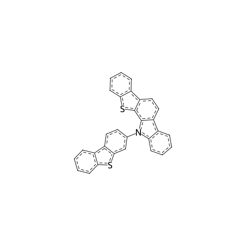 c1ccc2c(c1)sc1cc(-n3c4ccccc4c4ccc5c6ccccc6sc5c43)ccc12